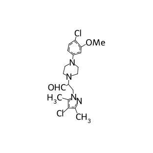 COc1cc(N2CCN(C(C=O)Cn3nc(C)c(Cl)c3C)CC2)ccc1Cl